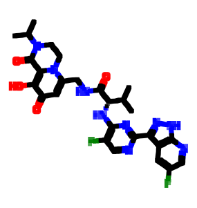 CC(C)[C@H](Nc1nc(-c2n[nH]c3ncc(F)cc23)ncc1F)C(=O)NCc1cc(=O)c(O)c2n1CCN(C(C)C)C2=O